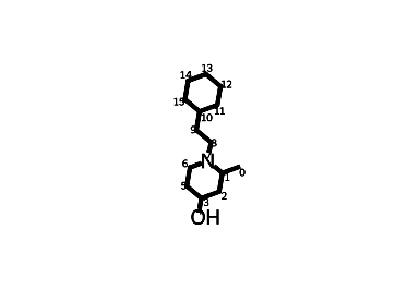 CC1CC(O)CCN1CCC1CCCCC1